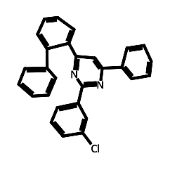 Clc1cccc(-c2nc(-c3ccccc3)cc(-c3ccccc3-c3ccccc3)n2)c1